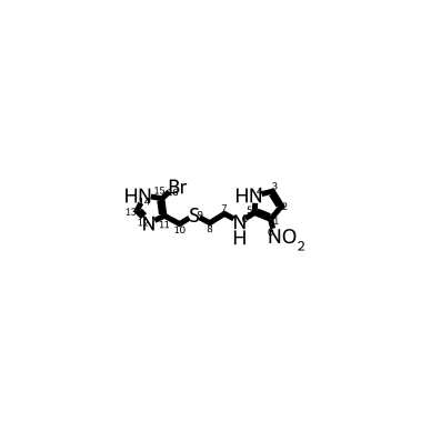 O=[N+]([O-])c1cc[nH]c1NCCSCc1nc[nH]c1Br